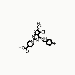 Cc1sc2nc(N3CCC(C(=O)O)CC3)nc(NCc3ccc(F)cc3)c2c1Cl